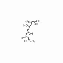 CCCN(CC(C)O)CC(O)CCC(O)CN(CC(C)O)C(C)C